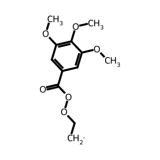 [CH2]COOC(=O)c1cc(OC)c(OC)c(OC)c1